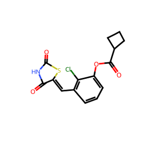 O=C1NC(=O)C(=Cc2cccc(OC(=O)C3CCC3)c2Cl)S1